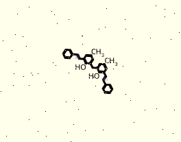 Cc1cc(/C=C/c2ccccc2)c(O)c(Cc2cc(C)cc(/C=C/c3ccccc3)c2O)c1